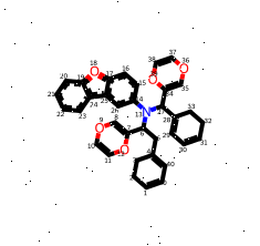 C1=CCCC(CC(C2=COC=CO2)N(c2ccc3oc4ccccc4c3c2)C(C2=CC=CCC2)C2=COC=CO2)=C1